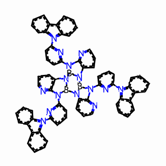 c1cc(N2B3N(B4N(B5N3c3cccnc3N5c3cccc(-n5c6ccccc6c6ccccc65)n3)c3cccnc3N4c3cccc(-n4c5ccccc5c5ccccc54)n3)c3cccnc32)nc(-n2c3ccccc3c3ccccc32)c1